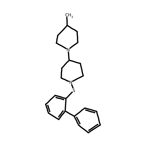 CC1CCN(C2CCN(Sc3ccccc3-c3ccccc3)CC2)CC1